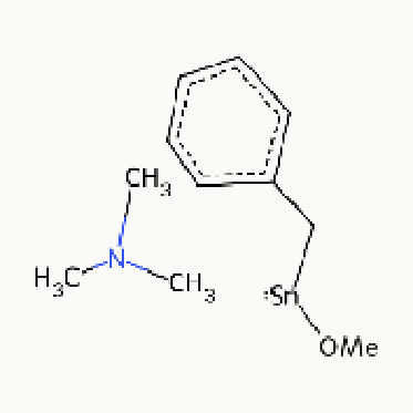 CN(C)C.C[O][Sn][CH2]c1ccccc1